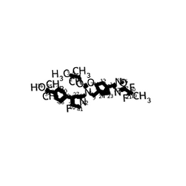 CC(C)(C)COC(=O)N(CC12CCC(c3noc(C(C)(F)F)n3)(CC1)C2)c1cc(-c2ccc(C(C)(C)O)cc2)c(F)cn1